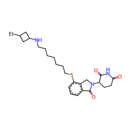 CCC1CC(NCCCCCCCSc2cccc3c2CN(C2CCC(=O)NC2=O)C3=O)C1